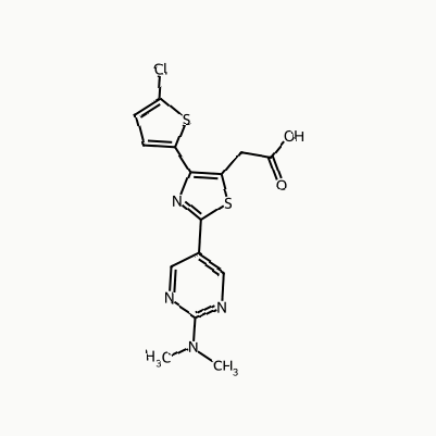 CN(C)c1ncc(-c2nc(-c3ccc(Cl)s3)c(CC(=O)O)s2)cn1